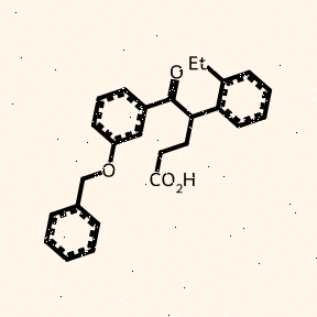 CCc1ccccc1C(CCC(=O)O)C(=O)c1cccc(OCc2ccccc2)c1